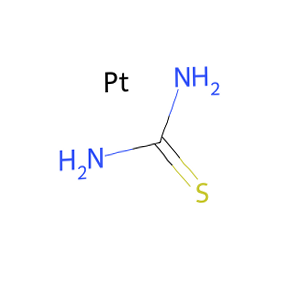 NC(N)=S.[Pt]